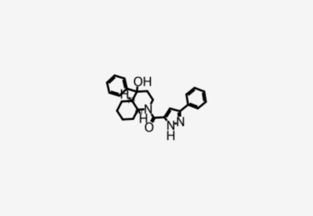 O=C(c1cc(-c2ccccc2)n[nH]1)N1CCC(O)(c2ccccc2)[C@H]2CCCC[C@H]21